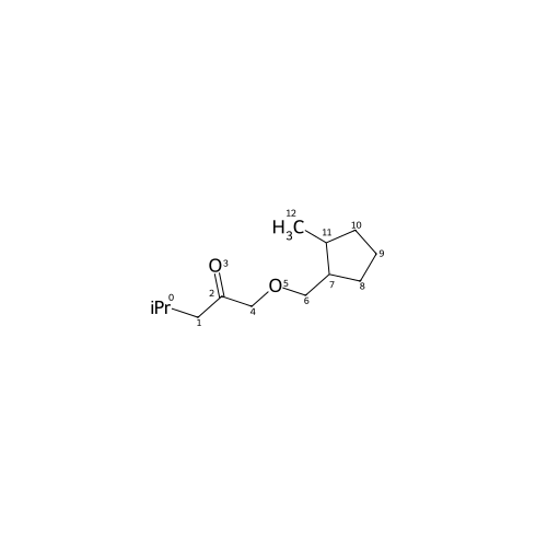 CC(C)CC(=O)COCC1CCCC1C